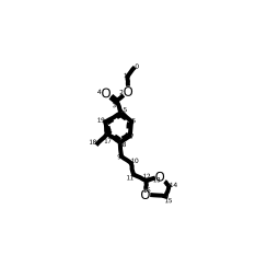 CCOC(=O)c1ccc(CCCC2OCCO2)c(C)c1